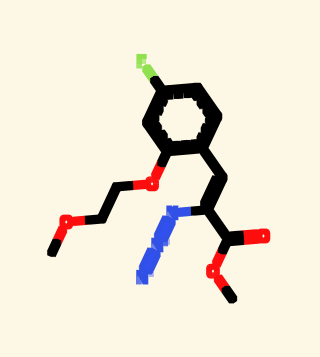 COCCOc1cc(F)ccc1/C=C(\N=[N+]=[N-])C(=O)OC